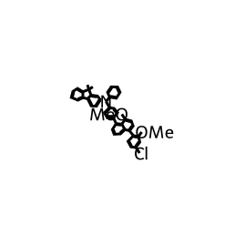 COc1cc(Cl)ccc1-c1ccc(OC)c2c(-c3ccc(N(c4ccccc4)c4ccc5c(c4)C(C)(C)c4ccccc4-5)cc3)cccc12